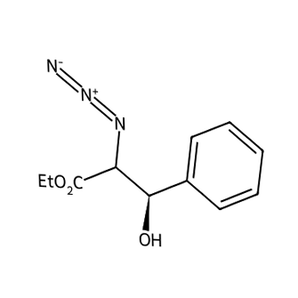 CCOC(=O)C(N=[N+]=[N-])[C@H](O)c1ccccc1